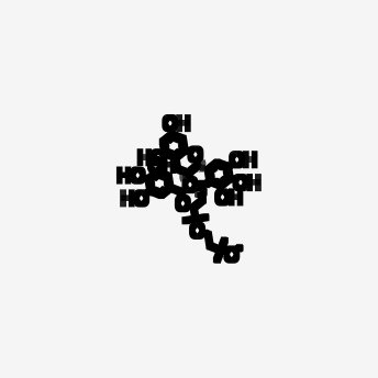 COC(C)(C)CCOC(C)(C)CCSc1c([C@H]2Oc3cc(O)cc(O)c3C[C@H]2OC(=O)c2cc(O)c(O)c(O)c2)cc(O)c(O)c1O